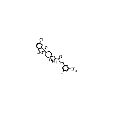 O=C(NCc1cc(F)cc(C(F)(F)F)c1)C1=NOC2(CCN(S(=O)(=O)c3cc(Cl)ccc3Cl)CC2)C1